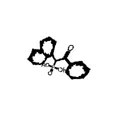 O=C(c1ccccc1)C(c1cccc2ccccc12)P(=O)(O)O